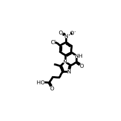 Cc1c(CCC(=O)O)nc2c(=O)[nH]c3cc([N+](=O)[O-])c(Cl)cc3n12